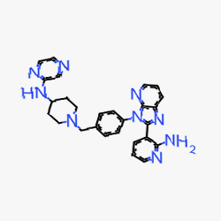 Nc1ncccc1-c1nc2cccnc2n1-c1ccc(CN2CCC(Nc3cnccn3)CC2)cc1